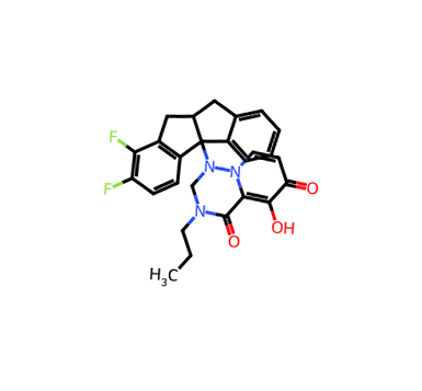 CCCN1CN(C23c4ccccc4CC2Cc2c3ccc(F)c2F)n2ccc(=O)c(O)c2C1=O